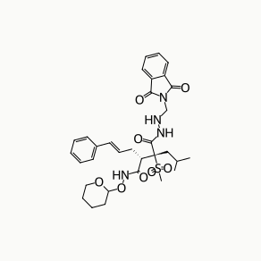 CC(C)C[C@](C(=O)NNCN1C(=O)c2ccccc2C1=O)([C@@H](CC=Cc1ccccc1)C(=O)NOC1CCCCO1)S(C)(=O)=O